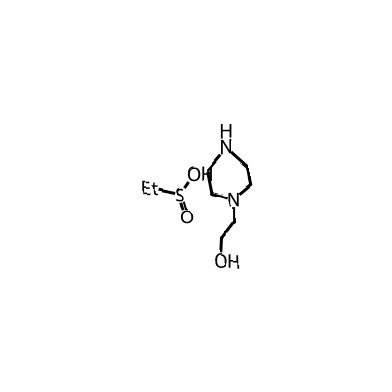 CCS(=O)O.OCCN1CCNCC1